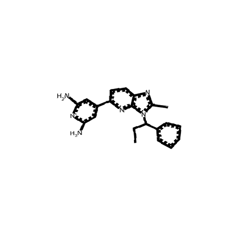 CCC(c1ccccc1)n1c(C)nc2ccc(-c3cc(N)nc(N)c3)nc21